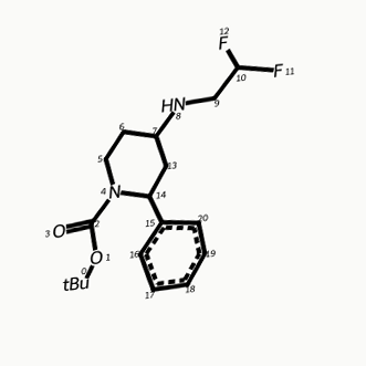 CC(C)(C)OC(=O)N1CCC(NCC(F)F)CC1c1ccccc1